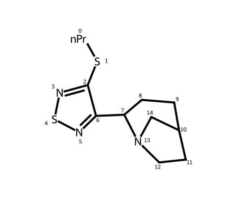 CCCSc1nsnc1C1CCC2CCN1C2